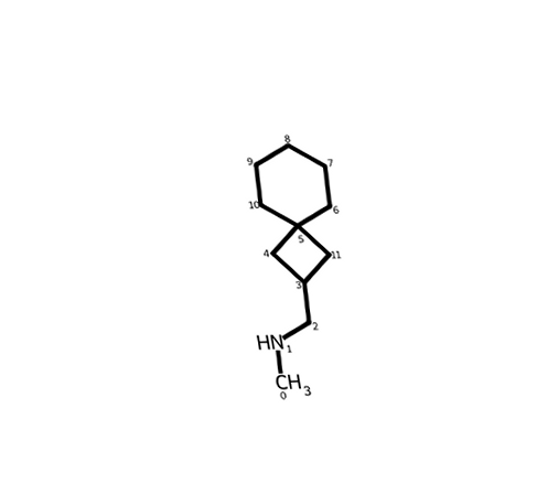 CNCC1CC2(CCCCC2)C1